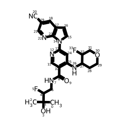 CC(C)(O)C(F)CNC(=O)c1cnc(-n2ccc3cc(C#N)cnc32)cc1NC1CCOCC1F